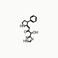 O=C(C=C1NCCC1c1ccccc1)C(O)c1nc[nH]n1